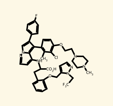 Cc1c(-c2c(-c3ccc(F)cc3)cn3nccc(NC(Cc4ccccc4OCc4ccnn4CC(F)(F)F)C(=O)O)c23)ccc(OCCN2CCN(C)CC2)c1Cl